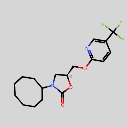 O=C1O[C@H](COc2ccc(C(F)(F)F)cn2)CN1C1CCCCCCC1